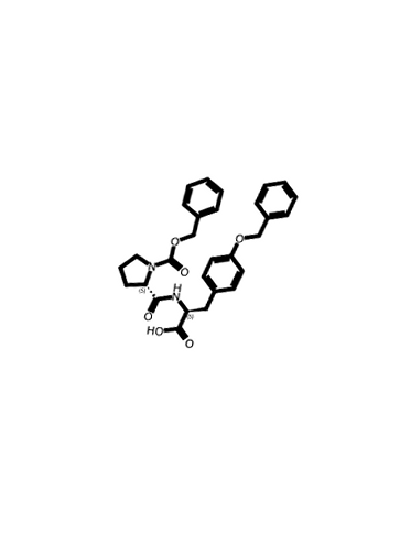 O=C(O)[C@H](Cc1ccc(OCc2ccccc2)cc1)NC(=O)[C@@H]1CCCN1C(=O)OCc1ccccc1